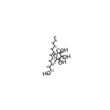 CCCCCCCCCCCCO.CCOCC.OCC(O)CO